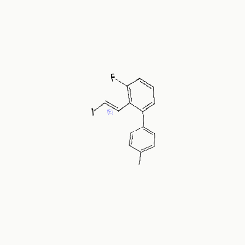 Cc1ccc(-c2cccc(F)c2/C=C/I)cc1